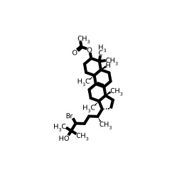 CC(=O)OC1CC[C@]2(C)C3=C(CC[C@H]2C1(C)C)[C@]1(C)CC[C@H]([C@H](C)CCC(Br)C(C)(C)O)[C@@]1(C)CC3